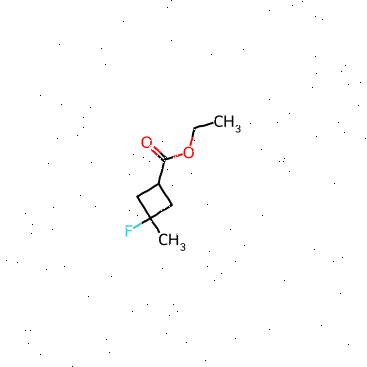 CCOC(=O)C1CC(C)(F)C1